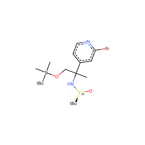 CC(CO[Si](C)(C)C(C)(C)C)(N[S@@+]([O-])C(C)(C)C)c1ccnc(Br)c1